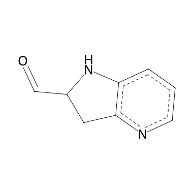 O=CC1Cc2ncccc2N1